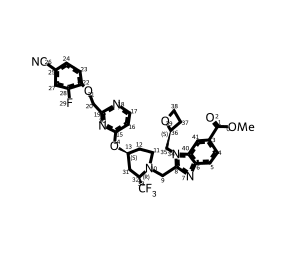 COC(=O)c1ccc2nc(CN3CC[C@H](Oc4ccnc(COc5ccc(C#N)cc5F)n4)C[C@@H]3C(F)(F)F)n(C[C@@H]3CCO3)c2c1